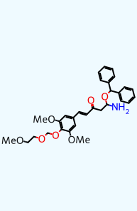 COCCOCOc1c(OC)cc(C=CC(=O)CC(N)OC(c2ccccc2)c2ccccc2)cc1OC